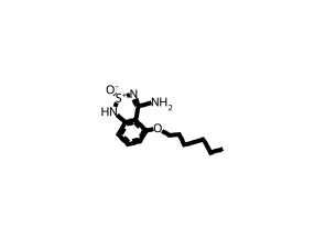 CCCCCCOc1cccc2c1C(N)=N[S+]([O-])N2